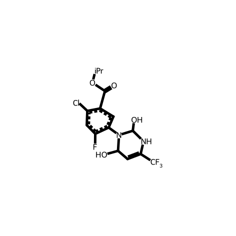 CC(C)OC(=O)c1cc(N2C(O)C=C(C(F)(F)F)NC2O)c(F)cc1Cl